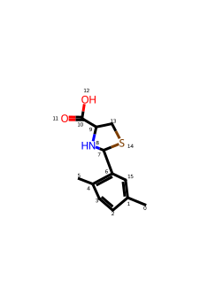 Cc1ccc(C)c(C2NC(C(=O)O)CS2)c1